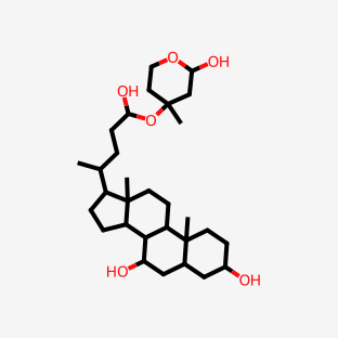 CC(CCC(O)OC1(C)CCOC(O)C1)C1CCC2C3C(O)CC4CC(O)CCC4(C)C3CCC12C